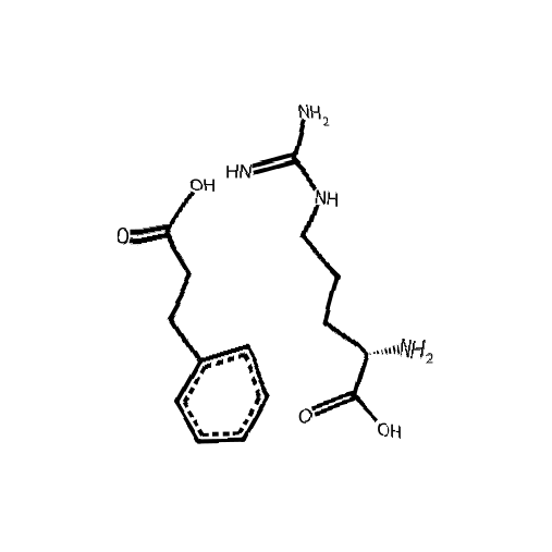 N=C(N)NCCC[C@H](N)C(=O)O.O=C(O)CCc1ccccc1